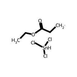 [CH2]CC(=O)OCC.[Cl][SnH]([Cl])[Cl]